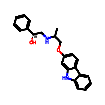 CC(COc1ccc2c(c1)[nH]c1ccccc12)NC[C@H](O)c1ccccc1